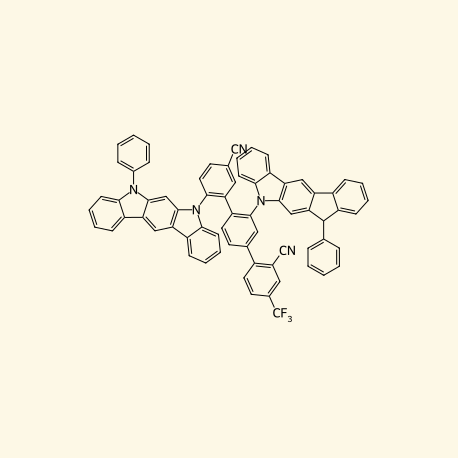 N#Cc1ccc(-n2c3ccccc3c3cc4c5ccccc5n(-c5ccccc5)c4cc32)c(-c2ccc(-c3ccc(C(F)(F)F)cc3C#N)cc2-n2c3ccccc3c3cc4c(cc32)C(c2ccccc2)c2ccccc2-4)c1